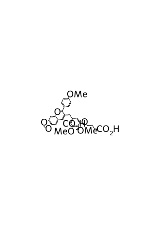 COc1ccc(C(=O)C(Cc2cc(OC)c(OC)c(OCCCC(=O)O)c2)=C(C(=O)O)c2ccc3c(c2)OCO3)cc1